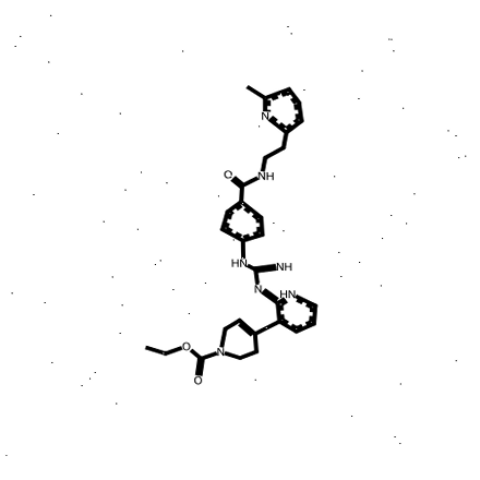 CCOC(=O)N1CC=C(c2ccc[nH]/c2=N\C(=N)Nc2ccc(C(=O)NCCc3cccc(C)n3)cc2)CC1